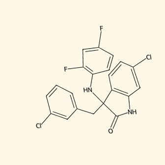 O=C1Nc2cc(Cl)ccc2C1(Cc1cccc(Cl)c1)Nc1ccc(F)cc1F